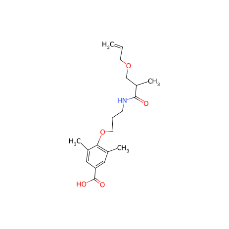 C=CCOCC(C)C(=O)NCCCOc1c(C)cc(C(=O)O)cc1C